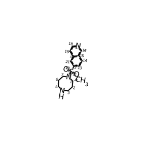 C[C@@H]1CCNCCCN1S(=O)(=O)c1ccc2cnccc2c1